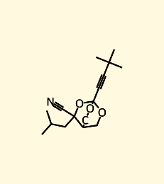 CC(C)CC1(C#N)OC2(C#CC(C)(C)C)OCC1CO2